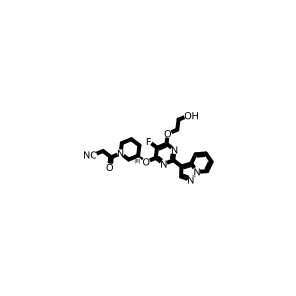 N#CCC(=O)N1CCC[C@@H](Oc2nc(-c3cnn4ccccc34)nc(OCCO)c2F)C1